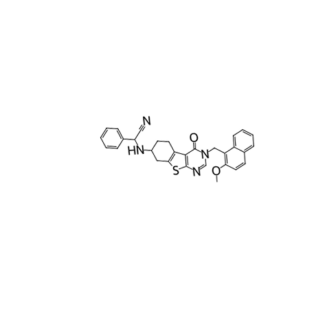 COc1ccc2ccccc2c1Cn1cnc2sc3c(c2c1=O)CCC(NC(C#N)c1ccccc1)C3